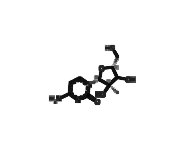 C[C@@]1(O)C(O)[C@@H](CO)O[C@H]1n1ccc(N)nc1=O